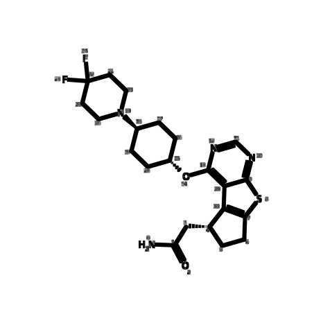 NC(=O)C[C@H]1CCc2sc3ncnc(O[C@H]4CC[C@H](N5CCC(F)(F)CC5)CC4)c3c21